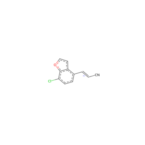 N#C/C=C/c1ccc(Cl)c2occc12